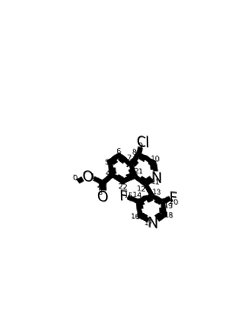 COC(=O)c1ccc2c(Cl)cnc(-c3c(F)cncc3F)c2c1